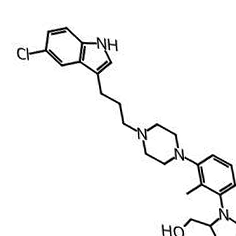 Cc1c(N2CCN(CCCc3c[nH]c4ccc(Cl)cc34)CC2)cccc1N1CCCC1CO